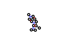 c1ccc(-c2cccc(-c3ccccc3N(c3ccc(-n4c5ccccc5c5ccccc54)cc3)c3cccc4c3-c3ccccc3C43c4ccccc4N(c4ccccc4)c4ccccc43)c2)cc1